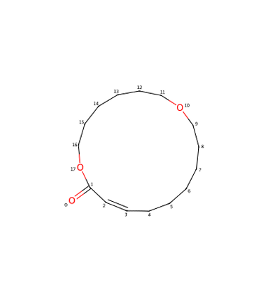 O=C1C=CCCCCCCOCCCCCCO1